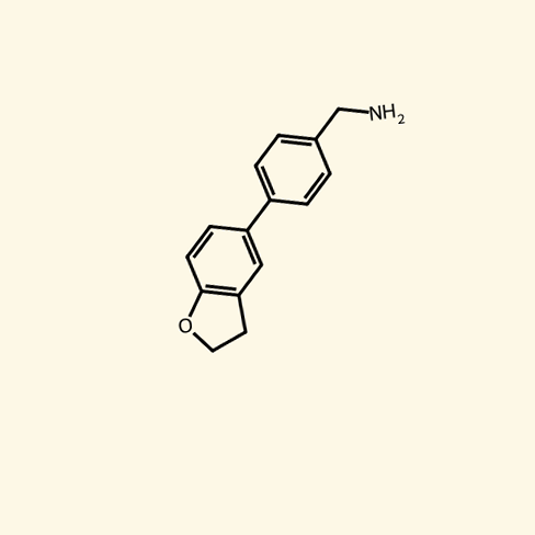 NCc1ccc(-c2ccc3c(c2)CCO3)cc1